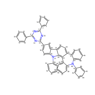 c1ccc(-c2nc(-c3ccccc3)nc(-c3ccc4c(c3)c3ccc5c(c3n4-c3ccccc3)-c3ccccc3N(c3ccccc3)c3ccccc3-5)n2)cc1